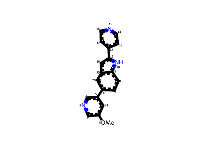 COc1cncc(-c2ccc3[nH]c(-c4ccncc4)cc3c2)c1